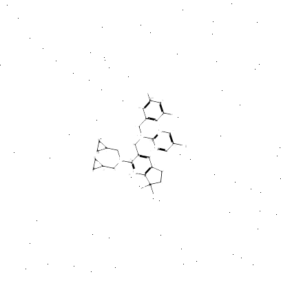 CC1(C)CCc2cc(CN(Cc3cc(C(F)(F)F)cc(C(F)(F)F)c3)c3ncc(Br)cn3)c(N(CC3CC3)CC3CC3)nc21